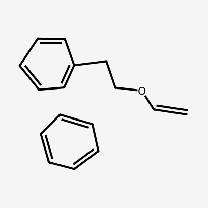 C=COCCc1ccccc1.c1ccccc1